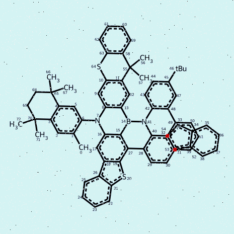 Cc1cc2c(cc1N1c3cc4c(cc3B3c5c1cc1c(sc6ccccc61)c5-c1ccc5c(sc6ccccc65)c1N3c1ccc(C(C)(C)C)cc1-c1ccccc1)C(C)(C)c1ccccc1S4)C(C)(C)CCC2(C)C